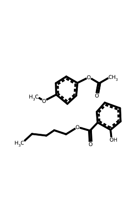 CCCCCOC(=O)c1ccccc1O.COc1ccc(OC(C)=O)cc1